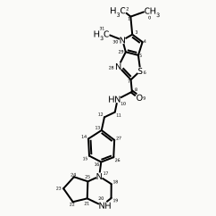 CC(C)c1cc2sc(C(=O)NCCc3ccc(N4CCNC5CCCC54)cc3)nc2n1C